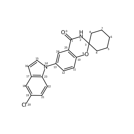 O=C1NC2(CCCCC2)Oc2ccc(-n3ccc4cc(Cl)ccc43)cc21